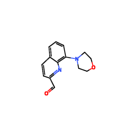 O=Cc1ccc2cccc(N3CCOCC3)c2n1